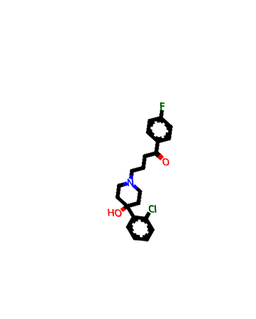 O=C(CCCN1CCC(O)(c2ccccc2Cl)CC1)c1ccc(F)cc1